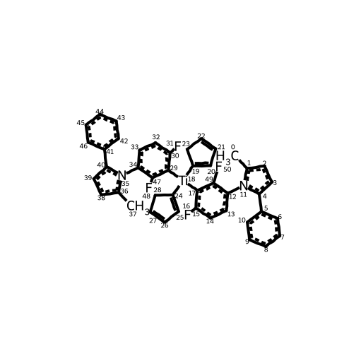 Cc1ccc(-c2ccccc2)n1-c1ccc(F)[c]([Ti]([C]2=CC=CC2)([C]2=CC=CC2)[c]2c(F)ccc(-n3c(C)ccc3-c3ccccc3)c2F)c1F